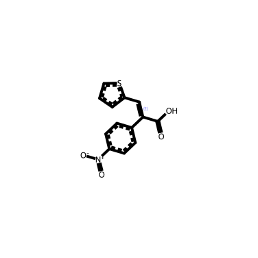 O=C(O)/C(=C/c1cccs1)c1ccc([N+](=O)[O-])cc1